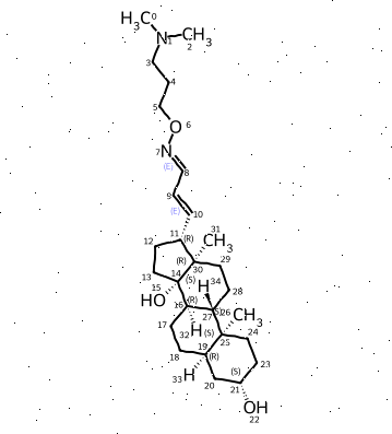 CN(C)CCCO/N=C/C=C/[C@H]1CC[C@]2(O)[C@@H]3CC[C@@H]4C[C@@H](O)CC[C@]4(C)[C@H]3CC[C@]12C